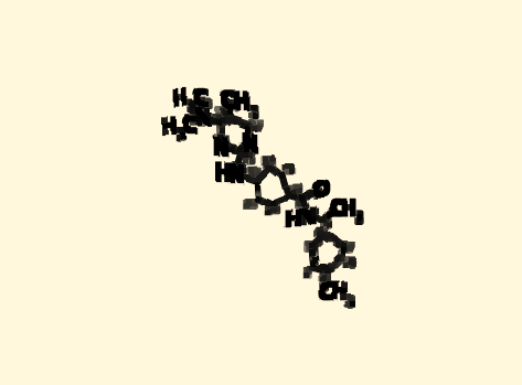 Cc1ccc([C@H](C)NC(=O)C2CCC(Nc3ncc(C)c(N(C)C)n3)CC2)cc1